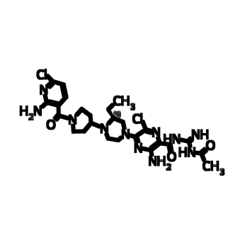 CC[C@H]1CN(c2nc(N)c(C(=O)NC(=N)NC(C)=O)nc2Cl)CCN1C1CCN(C(=O)c2ccc(Cl)nc2N)CC1